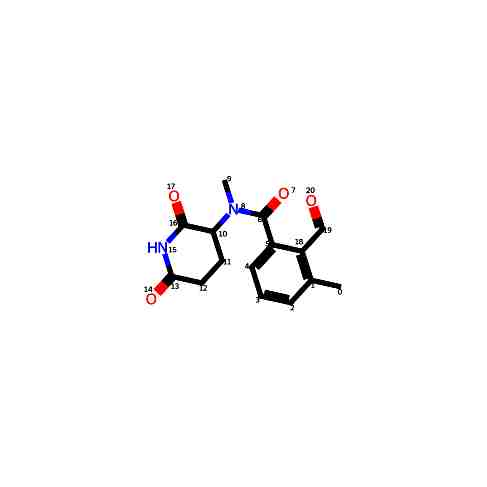 Cc1cccc(C(=O)N(C)C2CCC(=O)NC2=O)c1C=O